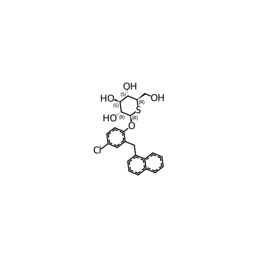 OC[C@H]1S[C@@H](Oc2ccc(Cl)cc2Cc2cccc3ccccc23)[C@H](O)[C@@H](O)[C@@H]1O